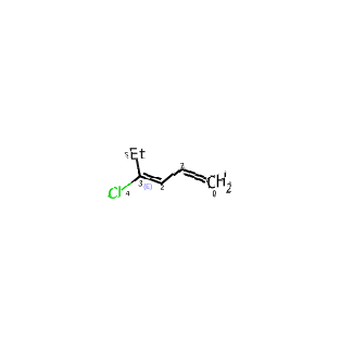 C=C/C=C(/Cl)CC